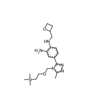 Cc1nnc(-c2ccc(NCC3CCO3)c(N)c2)n1COCC[Si](C)(C)C